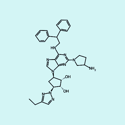 CCc1cnn([C@H]2C[C@@H](n3cnc4c(NCC(c5ccccc5)c5ccccc5)nc(N5CCC(N)C5)nc43)[C@H](O)[C@@H]2O)n1